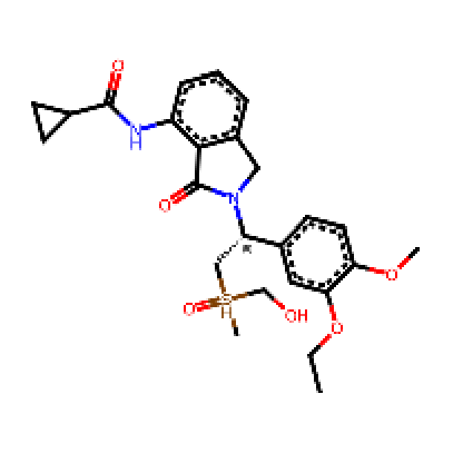 CCOc1cc([C@H](C[SH](C)(=O)CO)N2Cc3cccc(NC(=O)C4CC4)c3C2=O)ccc1OC